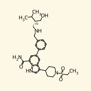 CCS(=O)(=O)N1CCC(c2c[nH]c3c(C(N)=O)cc(-c4cccc(CNC[C@@H](CO)C(C)C)c4)cc23)CC1